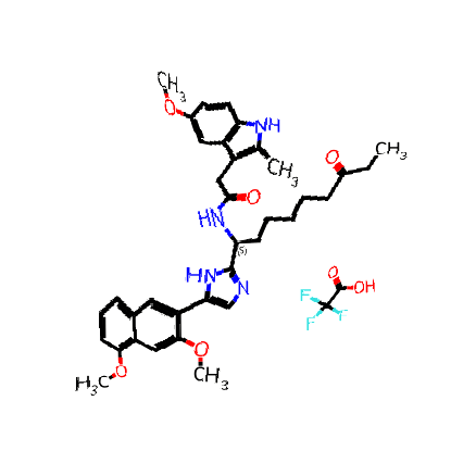 CCC(=O)CCCCC[C@H](NC(=O)Cc1c(C)[nH]c2ccc(OC)cc12)c1ncc(-c2cc3cccc(OC)c3cc2OC)[nH]1.O=C(O)C(F)(F)F